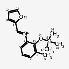 Cc1cccc(/N=C/c2ccco2)c1O[Si](C)(C)C